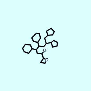 [O]C(CC(C1CCCCC1)C(CC(CC1CCCC1)C1CCCC1)C1CCCCC1)C1CCO1